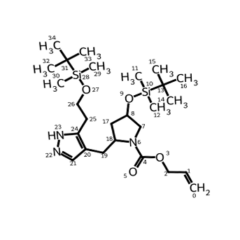 C=CCOC(=O)N1CC(O[Si](C)(C)C(C)(C)C)CC1Cc1cn[nH]c1CCO[Si](C)(C)C(C)(C)C